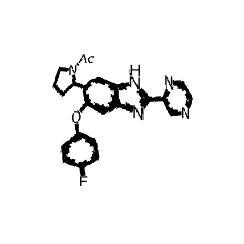 CC(=O)N1CCCC1c1cc2[nH]c(-c3cnccn3)nc2cc1Oc1ccc(F)cc1